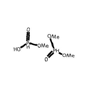 CO[PH](=O)O.CO[PH](=O)OC